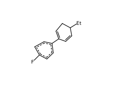 CCC1C=CC(c2ccc(F)cc2)=CC1